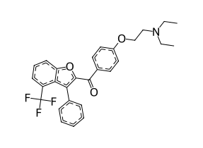 CCN(CC)CCOc1ccc(C(=O)c2oc3cccc(C(F)(F)F)c3c2-c2ccccc2)cc1